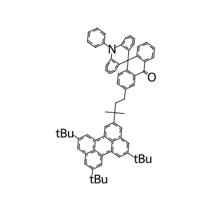 CC(C)(C)c1cc2cc(C(C)(C)C)cc3c4cc(C(C)(C)CCc5ccc6c(c5)C(=O)c5ccccc5C65c6ccccc6N(c6ccccc6)c6ccccc65)cc5cc(C(C)(C)C)cc(c(c1)c23)c54